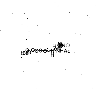 CC(=O)Nc1cc(NCCOCCOCCOCCOCCOCCC(=O)OC(C)(C)C)ccc1C(=O)Nc1nc(C)c(N=O)s1